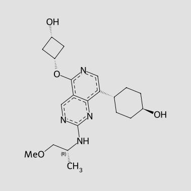 COC[C@@H](C)Nc1ncc2c(O[C@H]3C[C@@H](O)C3)ncc([C@H]3CC[C@H](O)CC3)c2n1